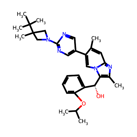 Cc1cc2nc(C)c([C@H](O)c3ccccc3OC(C)C)n2cc1-c1cnc(N2CC(C)(C(C)(C)C)C2)nc1